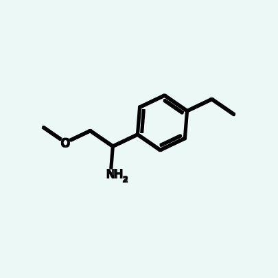 CCc1ccc(C(N)COC)cc1